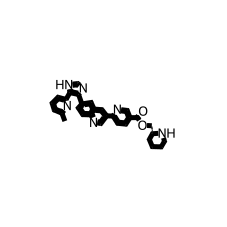 Cc1cccc(-c2[nH]cnc2-c2ccc3ncc(-c4ccc(C(=O)OC[C@H]5CCCCN5)cn4)cc3c2)n1